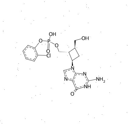 Nc1nc2c(ncn2[C@@H]2C[C@H](CO)[C@H]2COP(=O)(O)Oc2ccccc2Cl)c(=O)[nH]1